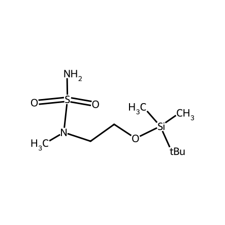 CN(CCO[Si](C)(C)C(C)(C)C)S(N)(=O)=O